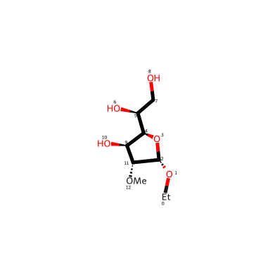 CCO[C@H]1O[C@H]([C@@H](O)CO)[C@H](O)[C@H]1OC